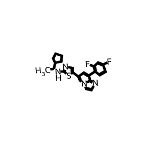 CC(Nc1ncc(-c2cc(-c3ccc(F)cc3F)c3nccn3c2)s1)C1CCCC1